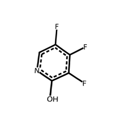 Oc1ncc(F)c(F)c1F